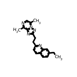 CCc1ccc2ccc(CCc3nc4c(C)ncc(C)n4n3)nc2c1